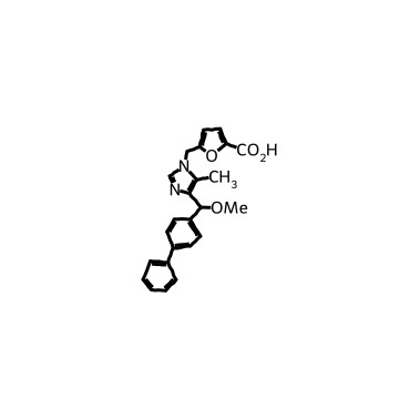 COC(c1ccc(-c2ccccc2)cc1)c1ncn(Cc2ccc(C(=O)O)o2)c1C